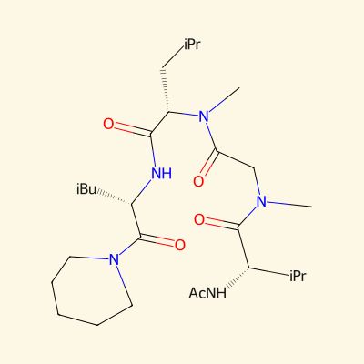 CCC(C)[C@H](NC(=O)[C@H](CC(C)C)N(C)C(=O)CN(C)C(=O)[C@@H](NC(C)=O)C(C)C)C(=O)N1CCCCC1